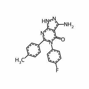 Cc1ccc(-c2nc3[nH]nc(N)c3c(=O)n2-c2ccc(F)cc2)cc1